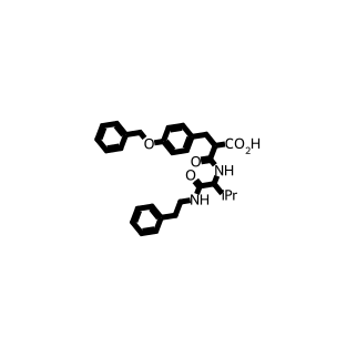 CC(C)C(NC(=O)C(Cc1ccc(OCc2ccccc2)cc1)C(=O)O)C(=O)NCCc1ccccc1